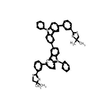 CC1(C)CSC(c2cccc(-c3ccc4c(c3)c3cc(-c5ccc6c(c5)c5cc(-c7cccc(C8=NC(C)(C)CS8)c7)ccc5n6-c5ccccc5)ccc3n4-c3ccccc3)c2)=N1